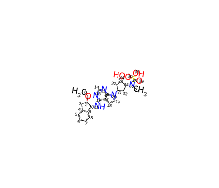 CO[C@@H]1Cc2ccccc2[C@H]1Nc1ncnc2c1ccn2[C@H]1C[C@H](O)[C@@H](N(C)S(=O)(=O)O)C1